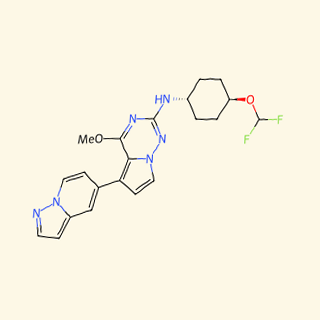 COc1nc(N[C@H]2CC[C@H](OC(F)F)CC2)nn2ccc(-c3ccn4nccc4c3)c12